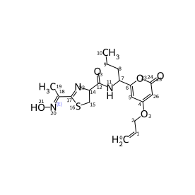 C=CCOc1cc(C(CCC)NC(=O)C2CSC(/C(C)=N/O)=N2)oc(=O)c1